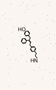 CNCCCc1ccc(CC=C(Cc2ccc(O)cc2)c2ccccc2)cc1